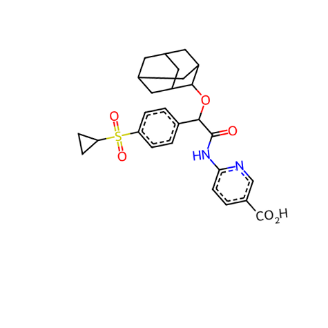 O=C(O)c1ccc(NC(=O)C(OC2C3CC4CC(C3)CC2C4)c2ccc(S(=O)(=O)C3CC3)cc2)nc1